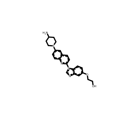 NC1CCN(c2ccc3nc(-n4cnc5cc(OCCO)ccc54)ccc3c2)CC1